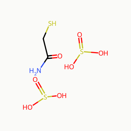 NC(=O)CS.O=S(O)O.O=S(O)O